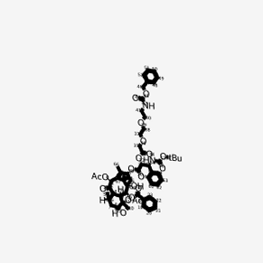 CC(=O)O[C@H]1C(=O)[C@]23C[C@H]2C[C@H]2OC[C@@]2(OC(C)=O)[C@H]3[C@H](OC(=O)c2ccccc2)[C@]2(O)C[C@H](OC(=O)[C@H](OC(=O)COCCOCCNC(=O)OCc3ccccc3)[C@@H](NC(=O)OC(C)(C)C)c3ccccc3)C(C)=C1C2(C)C